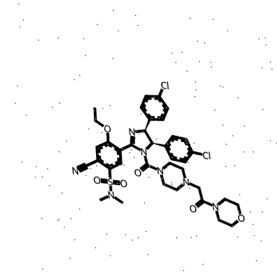 CCOc1cc(C#N)c(S(=O)(=O)N(C)C)cc1C1=N[C@@H](c2ccc(Cl)cc2)[C@@H](c2ccc(Cl)cc2)N1C(=O)N1CCN(CC(=O)N2CCOCC2)CC1